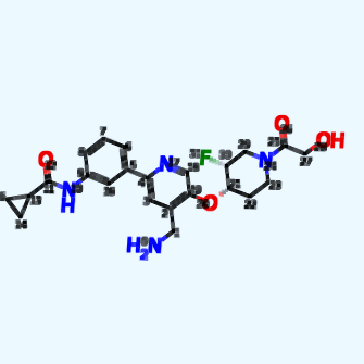 NCc1cc(-c2cccc(NC(=O)C3CC3)c2)ncc1O[C@H]1CCN(C(=O)CO)C[C@H]1F